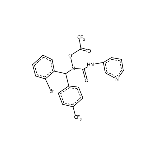 O=C(Nc1cccnc1)N(OC(=O)C(F)(F)F)C(c1ccc(C(F)(F)F)cc1)c1ccccc1Br